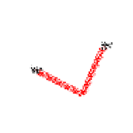 [O-2].[O-2].[O-2].[O-2].[O-2].[O-2].[O-2].[O-2].[O-2].[O-2].[O-2].[O-2].[O-2].[O-2].[O-2].[O-2].[O-2].[O-2].[O-2].[O-2].[O-2].[O-2].[O-2].[O-2].[O-2].[O-2].[O-2].[O-2].[O-2].[O-2].[O-2].[O-2].[O-2].[O-2].[O-2].[O-2].[O-2].[O-2].[O-2].[O-2].[O-2].[O-2].[O-2].[O-2].[O-2].[O-2].[O-2].[O-2].[O-2].[O-2].[O-2].[O-2].[O-2].[O-2].[O-2].[O-2].[Yb+3].[Yb+3].[Yb+3].[Yb+3].[Yb+3].[Yb+3]